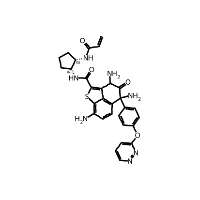 C=CC(=O)N[C@H]1CCC[C@H]1NC(=O)c1sc2c(N)ccc3c2c1C(N)C(=O)C3(N)c1ccc(Oc2cccnn2)cc1